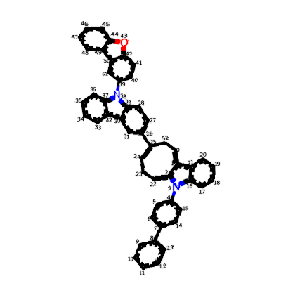 C1=c2\c(n(-c3ccc(-c4ccccc4)cc3)c3ccccc23)=C/C/C=C(/c2ccc3c(c2)c2ccccc2n3-c2ccc3oc4ccccc4c3c2)C/1